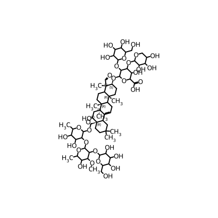 COC1C(O)C(C)OC(OC2C(OC(=O)[C@]34CCC(C)(C)CC3C3=CCC5[C@@]6(C)CC[C@H](OC7OC(C(=O)O)C(O)C(OC8OCC(O)C(O)C8O)C7OC7OC(CO)C(O)C(O)C7O)[C@@](C)(C=O)C6CC[C@@]5(C)[C@]3(C)C[C@H]4O)OC(C)C(O)C2O)C1OC1OC(CO)C(O)C(O)C1O